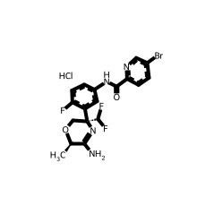 C[C@H]1OC[C@](c2cc(NC(=O)c3ccc(Br)cn3)ccc2F)(C(F)F)N=C1N.Cl